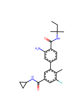 CCC(C)(C)NC(=O)c1ccc(-c2cc(C(=O)NC3CC3)cc(F)c2C)cc1N